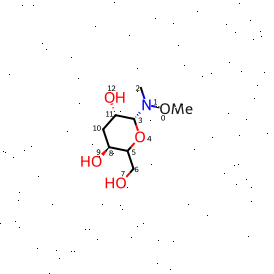 CON(C)[C@@H]1OC(CO)[C@@H](O)C[C@@H]1O